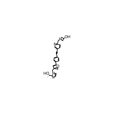 C[C@H](O)c1nccn1Cc1cc(-c2ccc(C#Cc3ccc(CN4CC(O)C4)nc3)cc2)on1